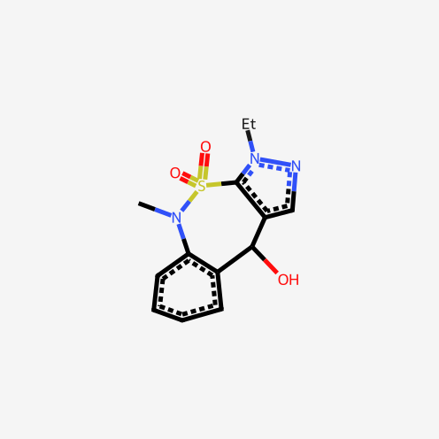 CCn1ncc2c1S(=O)(=O)N(C)c1ccccc1C2O